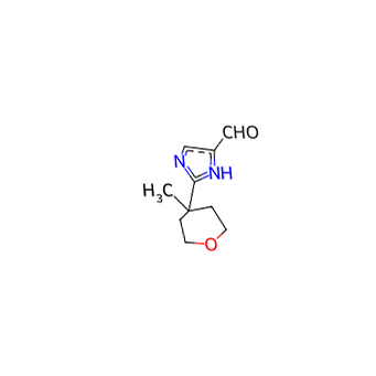 CC1(c2ncc(C=O)[nH]2)CCOCC1